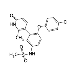 Cc1[nH]c(=O)ccc1-c1cc(NS(C)(=O)=O)ccc1Oc1ccc(Cl)cc1